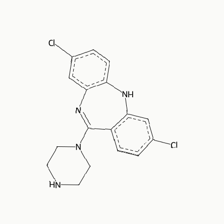 Clc1ccc2c(c1)N=C(N1CCNCC1)c1ccc(Cl)cc1N2